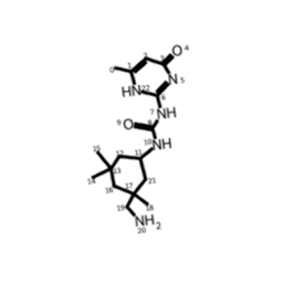 Cc1cc(=O)nc(NC(=O)NC2CC(C)(C)CC(C)(CN)C2)[nH]1